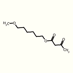 COCCCCCCOC(=O)CC(C)=O